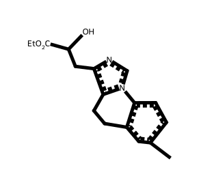 CCOC(=O)C(O)Cc1ncn2c1CCc1cc(C)ccc1-2